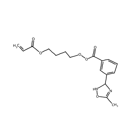 C=CC(=O)OCCCCOOC(=O)c1cccc(C2N=C(C)ON2)c1